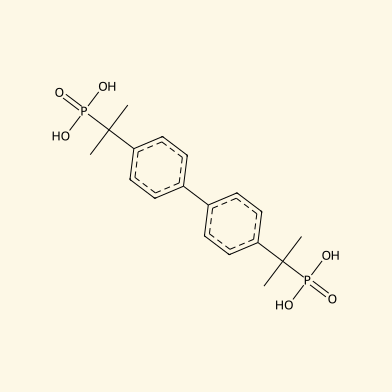 CC(C)(c1ccc(-c2ccc(C(C)(C)P(=O)(O)O)cc2)cc1)P(=O)(O)O